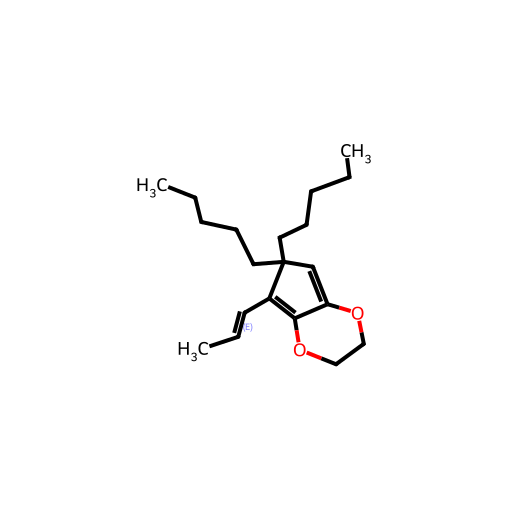 C/C=C/C1=C2OCCOC2=CC1(CCCCC)CCCCC